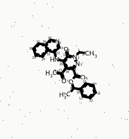 CCn1nc(C(=O)OC(C)c2ccccc2)c(C(C)=O)c(Nc2cncc3ccccc23)c1=O